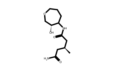 C[C@@H](CC(N)=O)CC(=O)NC1CCCOC[C@H]1O